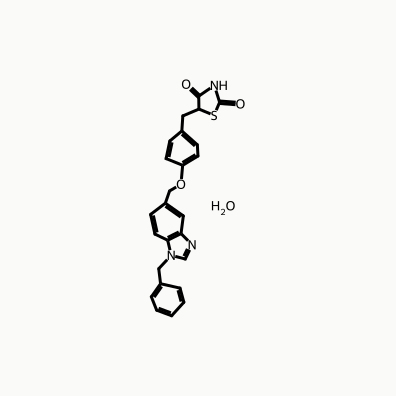 O.O=C1NC(=O)C(Cc2ccc(OCc3ccc4c(c3)ncn4Cc3ccccc3)cc2)S1